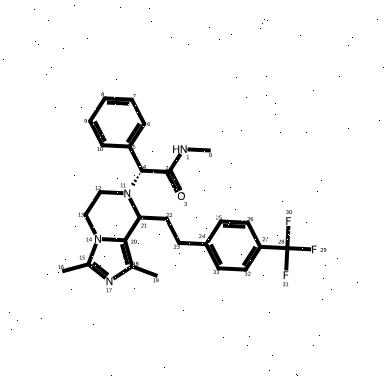 CNC(=O)[C@@H](c1ccccc1)N1CCn2c(C)nc(C)c2C1CCc1ccc(C(F)(F)F)cc1